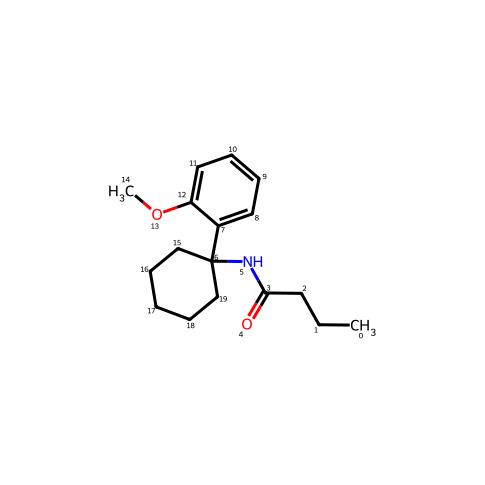 CCCC(=O)NC1(c2ccccc2OC)CCCCC1